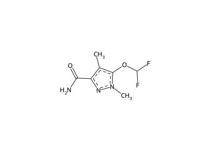 Cc1c(C(N)=O)nn(C)c1OC(F)F